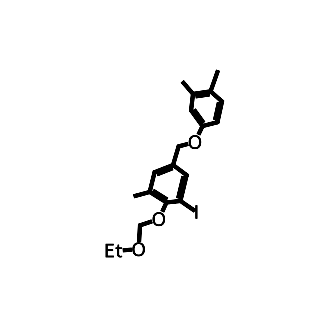 CCOCOc1c(C)cc(COc2ccc(C)c(C)c2)cc1I